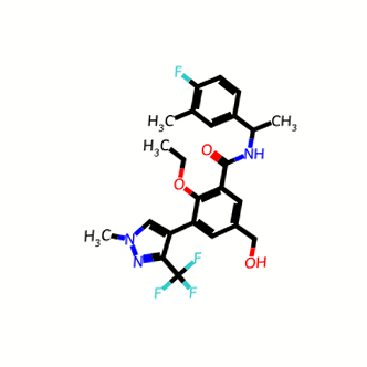 CCOc1c(C(=O)NC(C)c2ccc(F)c(C)c2)cc(CO)cc1-c1cn(C)nc1C(F)(F)F